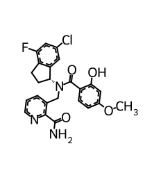 COc1ccc(C(=O)N(Cc2cccnc2C(N)=O)[C@@H]2CCc3c(F)cc(Cl)cc32)c(O)c1